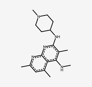 CNc1c(C)c(NC2CCN(C)CC2)nc2nc(C)cc(C)c12